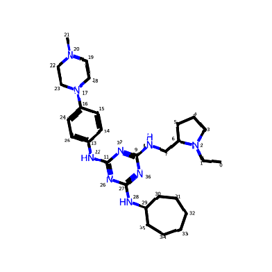 CCN1CCCC1CNc1nc(Nc2ccc(N3CCN(C)CC3)cc2)nc(NC2CCCCCC2)n1